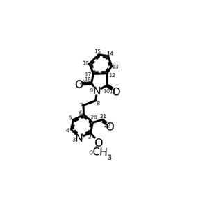 COc1nccc(CCN2C(=O)c3ccccc3C2=O)c1C=O